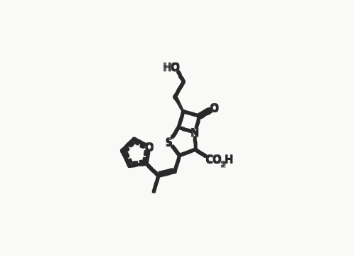 CC(=CC1SC2[C@@H](CCO)C(=O)N2C1C(=O)O)c1ccco1